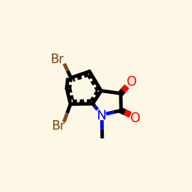 CN1C(=O)C(=O)c2cc(Br)cc(Br)c21